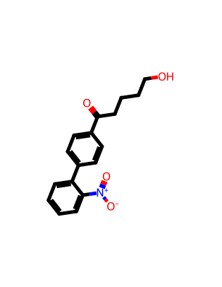 O=C(CCCCO)c1ccc(-c2ccccc2[N+](=O)[O-])cc1